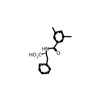 Cc1cc(C)cc(C(=O)N[C@@H](Cc2ccccc2)C(=O)O)c1